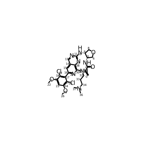 C=CC(=O)N[C@H]1COC[C@H]1Nc1ncc2cc(-c3c(Cl)c(OC)cc(OC)c3Cl)nc(NCCCN(C)C)c2n1